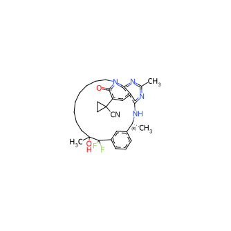 Cc1nc2c3cc(C4(C#N)CC4)c(=O)n(c3n1)CCCCCCCCC(C)(O)C(F)(F)c1cccc(c1)[C@@H](C)N2